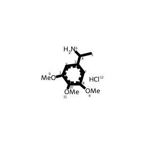 COc1cc(C(C)N)cc(OC)c1OC.Cl